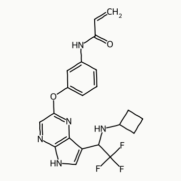 C=CC(=O)Nc1cccc(Oc2cnc3[nH]cc(C(NC4CCC4)C(F)(F)F)c3n2)c1